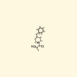 CC(O)C(Cl)N1CCC(Cc2ccccc2)CC1